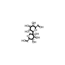 OC[C@H]1O[CH][C@@](O)([C@H]2O[C@H](CO)[C@@H](O)[C@H](O)[C@H]2O)[C@@H](O)[C@@H]1O